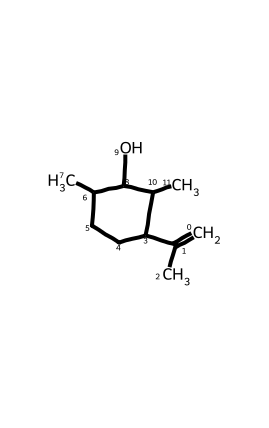 C=C(C)C1CCC(C)C(O)C1C